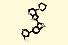 Nc1cncc(-c2ccc3[nH]nc(-c4cc5c(N6CCCCC6)ccnc5[nH]4)c3n2)c1